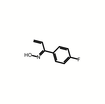 C=CC(=NO)c1ccc(F)cc1